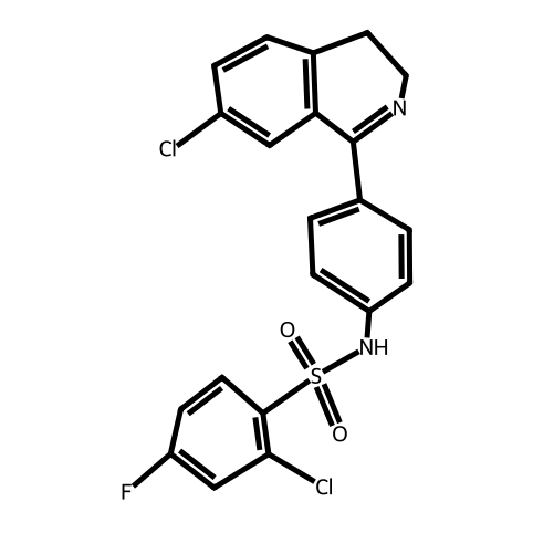 O=S(=O)(Nc1ccc(C2=NCCc3ccc(Cl)cc32)cc1)c1ccc(F)cc1Cl